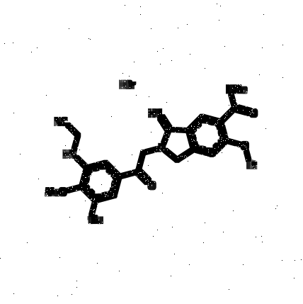 Br.CCOc1cc2c(cc1C(=O)NC)C(=N)N(CC(=O)c1cc(NCC#N)c(OC)c(C(C)(C)C)c1)C2